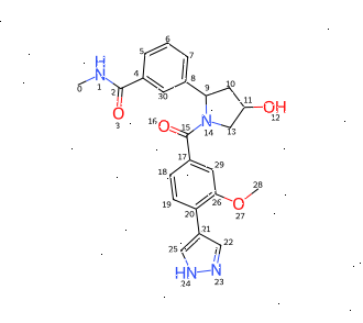 CNC(=O)c1cccc(C2CC(O)CN2C(=O)c2ccc(-c3cn[nH]c3)c(OC)c2)c1